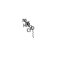 CCCCCCCCc1oc2ccc(Nc3nc(-c4cccnc4)cs3)cc2c1Cl